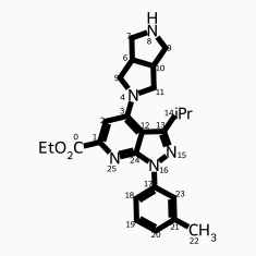 CCOC(=O)c1cc(N2CC3CNCC3C2)c2c(C(C)C)nn(-c3cccc(C)c3)c2n1